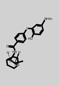 CC(=O)Nc1ccc(O)c(Sc2ccc(C(=O)N[C@@H]3C4CCN(CC4)[C@H]3C)cc2)c1